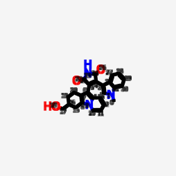 Cn1cc(C2=C(c3c4c(n5ccccc35)CC(CO)CC4)C(=O)NC2=O)c2ccccc21